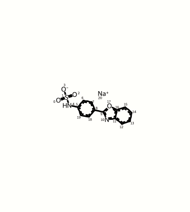 O=S(=O)([O-])Nc1ccc(-c2nc3ccccc3o2)cc1.[Na+]